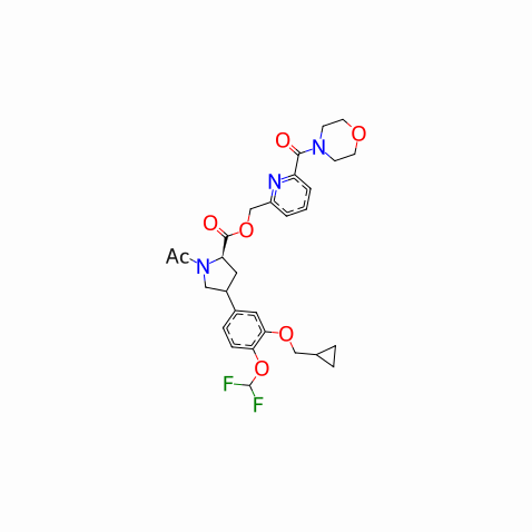 CC(=O)N1CC(c2ccc(OC(F)F)c(OCC3CC3)c2)C[C@@H]1C(=O)OCc1cccc(C(=O)N2CCOCC2)n1